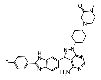 CN1CCN([C@H]2CC[C@@H](n3nc(-c4ccc5nc(-c6ccc(F)cc6)[nH]c5c4)c4c(N)ncnc43)CC2)CC1=O